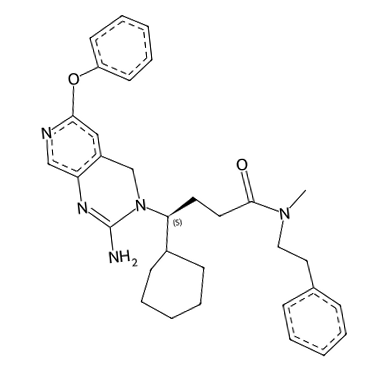 CN(CCc1ccccc1)C(=O)CC[C@@H](C1CCCCC1)N1Cc2cc(Oc3ccccc3)ncc2N=C1N